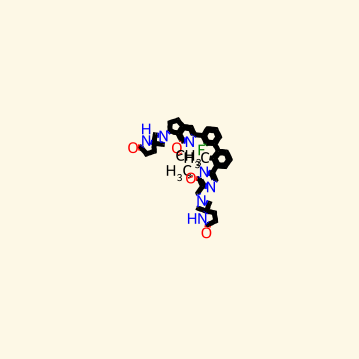 COc1nc(-c2cccc(-c3cccc(-c4cc5c(c(OC)n4)C(N4CC6(CCC(=O)N6)C4)CC5)c3F)c2C)cnc1CN1CC2(CCC(=O)N2)C1